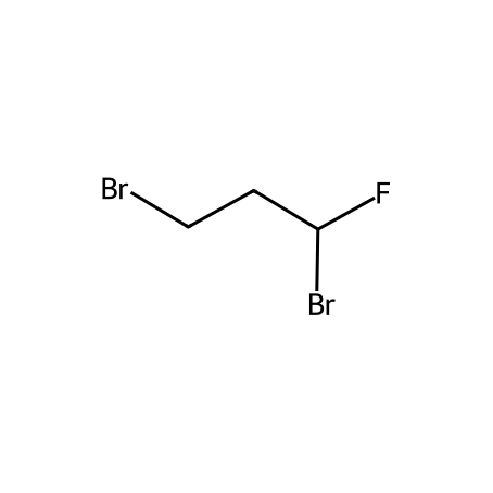 FC(Br)CCBr